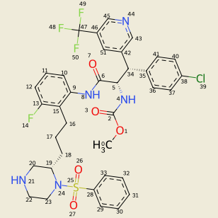 COC(=O)N[C@H](C(=O)Nc1cccc(F)c1CCC[C@H]1CNCCN1S(=O)(=O)c1ccccc1)[C@@H](c1ccc(Cl)cc1)c1cncc(C(F)(F)F)c1